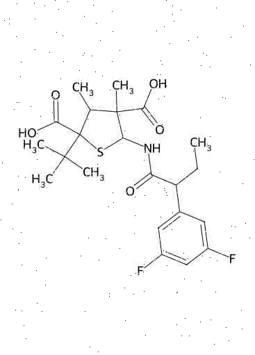 CCC(C(=O)NC1SC(C(=O)O)(C(C)(C)C)C(C)C1(C)C(=O)O)c1cc(F)cc(F)c1